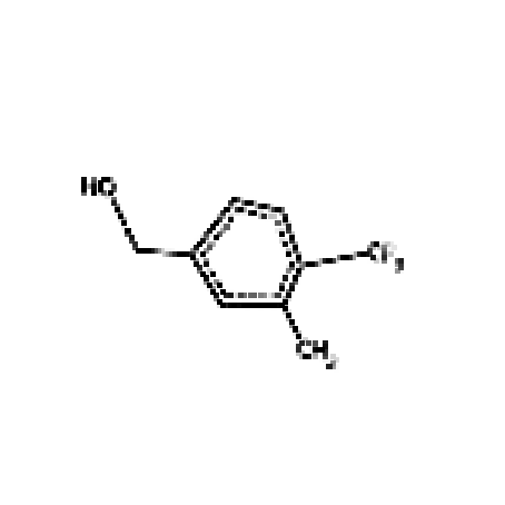 Cc1cc(CO)ccc1C(F)(F)F